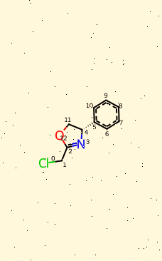 ClCC1=N[C@@H](c2ccccc2)CO1